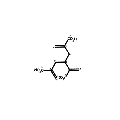 [CH2]COC(=O)C(=C)C(CC(=C)C(=O)O)CC(=C)C(=O)O